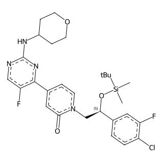 CC(C)(C)[Si](C)(C)O[C@H](Cn1ccc(-c2nc(NC3CCOCC3)ncc2F)cc1=O)c1ccc(Cl)c(F)c1